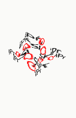 CC(C)O[Si]1(C(C)C)O[Si](OC(C)C)(C(C)C)O[Si](OC(C)C)(C(C)C)O[Si](OC(C)C)(C(C)C)O1